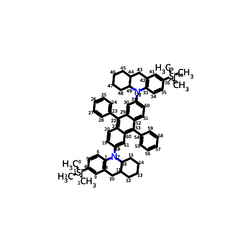 C[Si](C)(C)c1ccc2c(c1)CC1CCCCC1N2c1ccc2c(-c3ccccc3)c3cc(N4c5ccc([Si](C)(C)C)cc5CC5CCCCC54)ccc3c(-c3ccccc3)c2c1